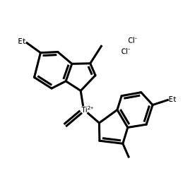 [CH2]=[Ti+2]([CH]1C=C(C)c2cc(CC)ccc21)[CH]1C=C(C)c2cc(CC)ccc21.[Cl-].[Cl-]